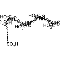 CC(C)C(=O)CC[C@H](NC(=O)COCCOCCNC(=O)CC[C@H](NC(=O)COCCOCCNC(=O)CC[C@H](NC(=O)COCCOCCNC(=O)CC[C@H](NC(=O)CC[C@H](NC(=O)CCCCCCCCCCCCCCCCC(=O)O)C(=O)O)C(=O)O)C(=O)O)C(=O)O)C(=O)O